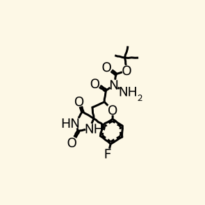 CC(C)(C)OC(=O)N(N)C(=O)C1CC2(NC(=O)NC2=O)c2cc(F)ccc2O1